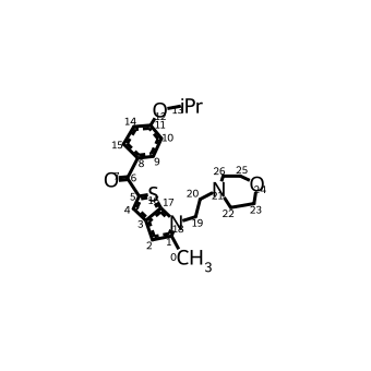 Cc1cc2cc(C(=O)c3ccc(OC(C)C)cc3)sc2n1CCN1CCOCC1